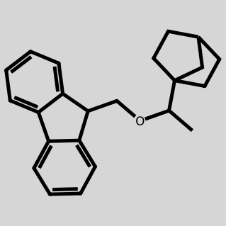 CC(OCC1c2ccccc2-c2ccccc21)C12CCC(CC1)C2